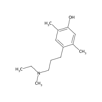 CCN(C)CCCc1cc(C)c(O)cc1C